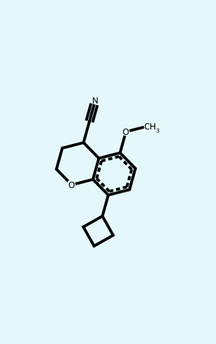 COc1ccc(C2CCC2)c2c1C(C#N)CCO2